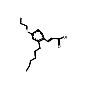 CCCCCCc1cc(OCCC)ccc1C=CC(=O)O